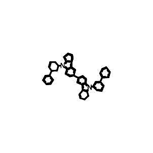 C1=Cc2c(n(-c3cccc(-c4ccccc4)c3)c3ccc(-c4ccc5c(c4)c4ccccc4n5C4CC=CC(c5ccccc5)C4)cc23)CC1